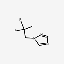 FC(F)(F)Cn1cn[c]n1